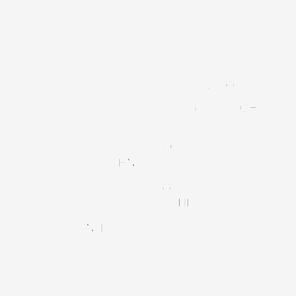 CCCCCCCCCC(Cc1ccccc1)C(N)CCNC(=O)OCC(CO)OC(=O)C(C)C.I